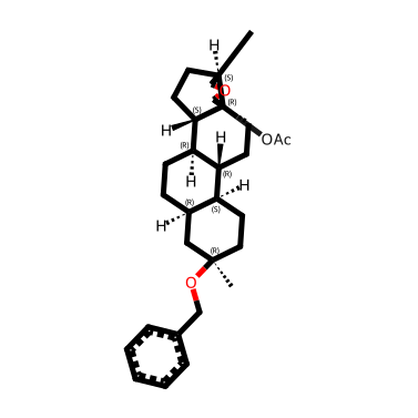 CC(=O)OC1OC(C)[C@H]2CC[C@H]3[C@@H]4CC[C@@H]5C[C@](C)(OCc6ccccc6)CC[C@@H]5[C@H]4CC[C@]123